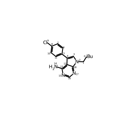 CCC(C)Cn1cc(-c2ccc(Cl)cc2)c2c(N)ncnc21